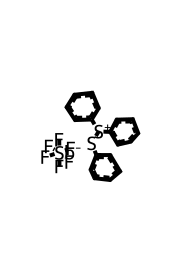 [F][Sb-]([F])([F])([F])([F])[F].c1ccc(S[S+](c2ccccc2)c2ccccc2)cc1